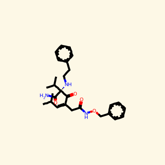 CC(C)C=C(CC(=O)NOCc1ccccc1)C(=O)[C@@](NCCc1ccccc1)(C(N)=O)C(C)C